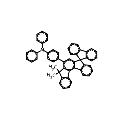 CC1(C)c2ccccc2-c2c3c(cc(-c4ccc(N(c5ccccc5)c5ccccc5)cc4)c21)C1(c2ccccc2-c2ccccc21)c1ccccc1-3